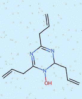 C=CCC1=NC(CC=C)N(O)C(CC=C)=N1